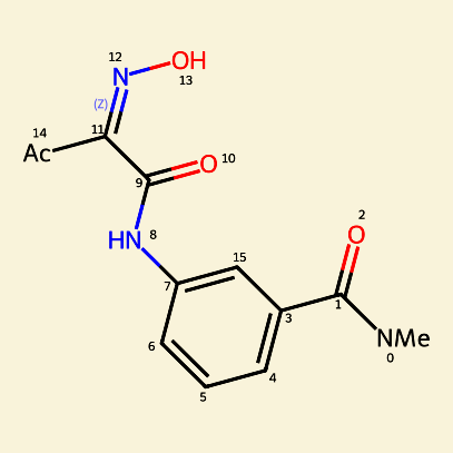 CNC(=O)c1cccc(NC(=O)/C(=N\O)C(C)=O)c1